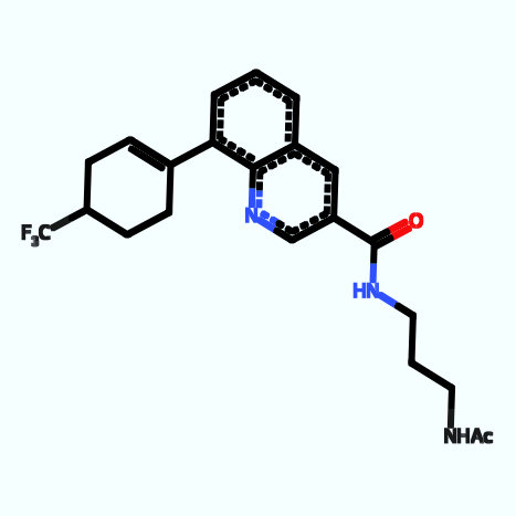 CC(=O)NCCCNC(=O)c1cnc2c(C3=CCC(C(F)(F)F)CC3)cccc2c1